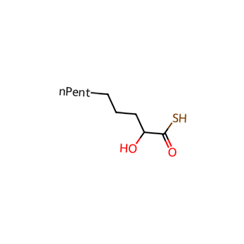 CCCCCCCCC(O)C(=O)S